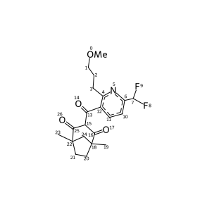 COCCCc1nc(C(F)F)ccc1C(=O)C1C(=O)C2(C)CCC(C)(C2)C1=O